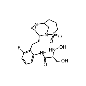 O=C(Nc1cccc(F)c1CC[C@H]1C2CN2C2CCCS(=O)(=O)N1C2)[C@H](CO)NO